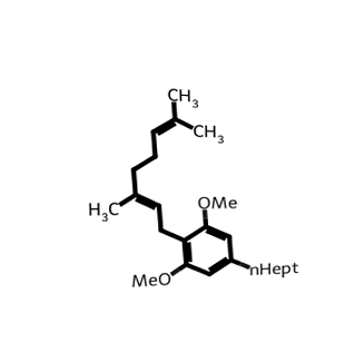 CCCCCCCc1cc(OC)c(C/C=C(\C)CCC=C(C)C)c(OC)c1